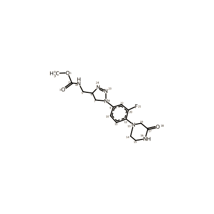 COC(=O)NCC1CN(c2ccc(N3CCNC(=O)C3)c(F)c2)N=N1